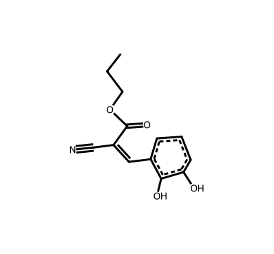 CCCOC(=O)C(C#N)=Cc1cccc(O)c1O